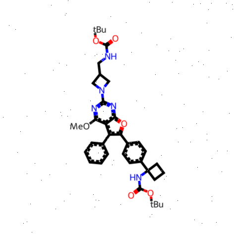 COc1nc(N2CC(CNC(=O)OC(C)(C)C)C2)nc2oc(-c3ccc(C4(NC(=O)OC(C)(C)C)CCC4)cc3)c(-c3ccccc3)c12